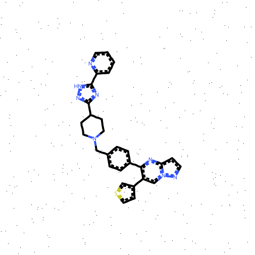 c1ccc(-c2nc(C3CCN(Cc4ccc(-c5nc6ccnn6cc5-c5ccsc5)cc4)CC3)n[nH]2)nc1